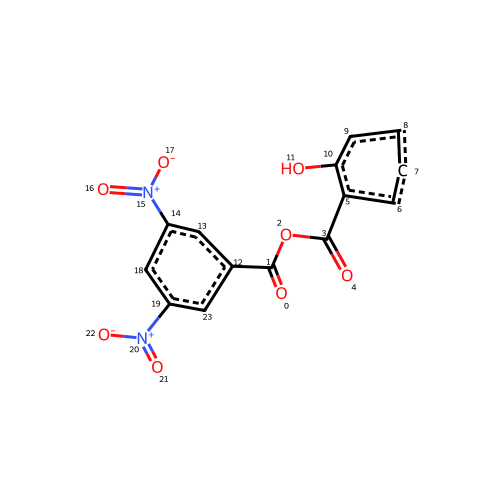 O=C(OC(=O)c1ccccc1O)c1cc([N+](=O)[O-])cc([N+](=O)[O-])c1